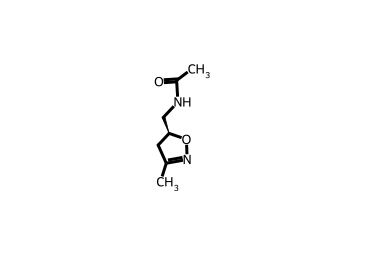 CC(=O)NC[C@@H]1CC(C)=NO1